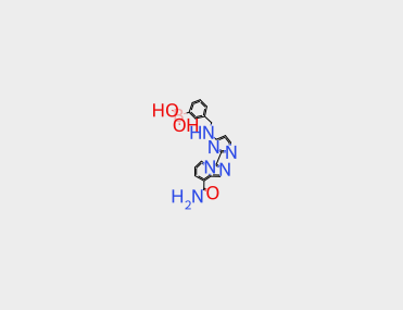 NC(=O)c1cccn2c(-c3nccc(NCc4cccc(B(O)O)c4)n3)ncc12